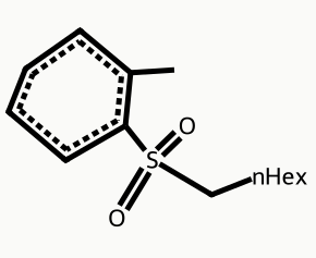 CCCCCCCS(=O)(=O)c1ccccc1C